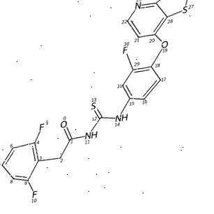 O=C(Cc1c(F)cccc1F)NC(=S)Nc1ccc(Oc2ccnc3ccsc23)c(F)c1